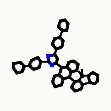 C[Si]1(C)c2ccccc2-c2cccc(-c3c4ccccc4c(-c4cc(-c5ccc(-c6ccccc6)cc5)nc(-c5ccc(-c6ccccc6)cc5)n4)c4ccccc34)c21